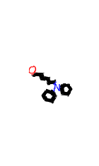 O=CCCCCCN(C1CCCCC1)C1CCCCC1